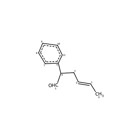 C/C=C/CC(C=O)c1ccccc1